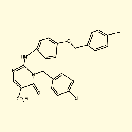 CCOC(=O)c1cnc(Nc2ccc(OCc3ccc(C)cc3)cc2)n(Cc2ccc(Cl)cc2)c1=O